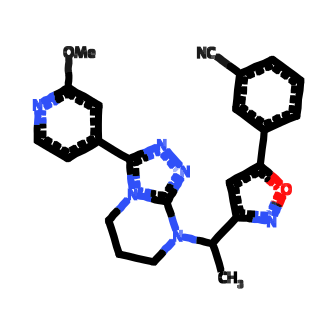 COc1cc(-c2nnc3n2CCCN3C(C)c2cc(-c3cccc(C#N)c3)on2)ccn1